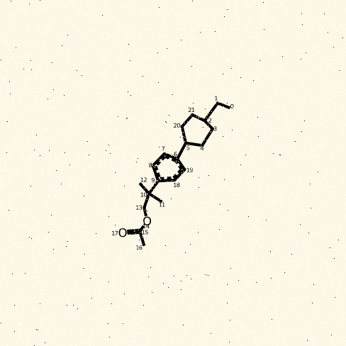 CCC1CCC(c2ccc(C(C)(C)COC(C)=O)cc2)CC1